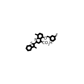 Cc1c(-c2cc(C(=O)O)c3c(OCc4cccc(F)c4)ccc(C)c3n2)sc2ccccc12